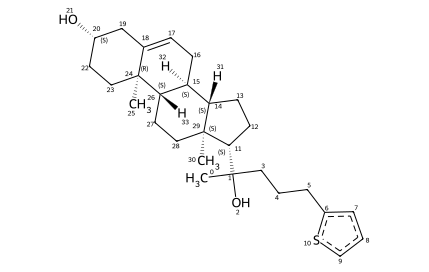 CC(O)(CCCc1cccs1)[C@H]1CC[C@H]2[C@@H]3CC=C4C[C@@H](O)CC[C@]4(C)[C@H]3CC[C@]12C